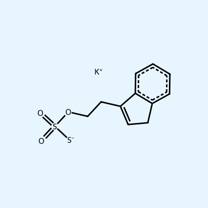 O=S(=O)([S-])OCCC1=CCc2ccccc21.[K+]